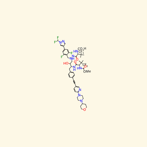 COC(=O)NC(C(=O)NC(Cc1ccc(C#Cc2ccc(N3CCN(C4CCOCC4)CC3)nc2)cc1)C(O)CN(Cc1c(F)cc(-c2cnn(C(F)F)c2)cc1F)NC(=O)C(NC(=O)O)C(C)(C)C(F)(F)F)C(C)(C)C(F)(F)F